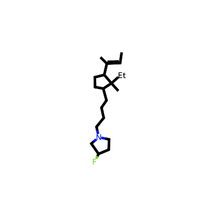 C/C=C(\C)C1CCC(CCCCN2CCC(F)C2)C1(C)CC